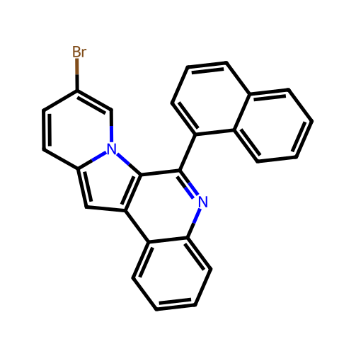 Brc1ccc2cc3c4ccccc4nc(-c4cccc5ccccc45)c3n2c1